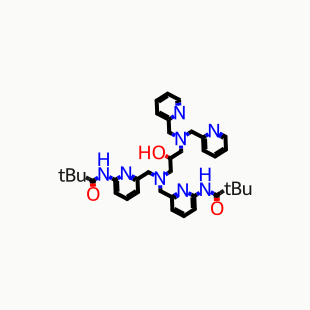 CC(C)(C)C(=O)Nc1cccc(CN(Cc2cccc(NC(=O)C(C)(C)C)n2)CC(O)CN(Cc2ccccn2)Cc2ccccn2)n1